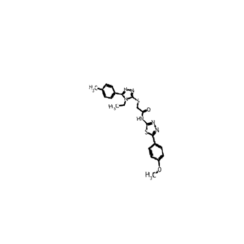 CCn1c(SCC(=O)Nc2nnc(-c3ccc(OC)cc3)s2)nnc1-c1ccc(C)cc1